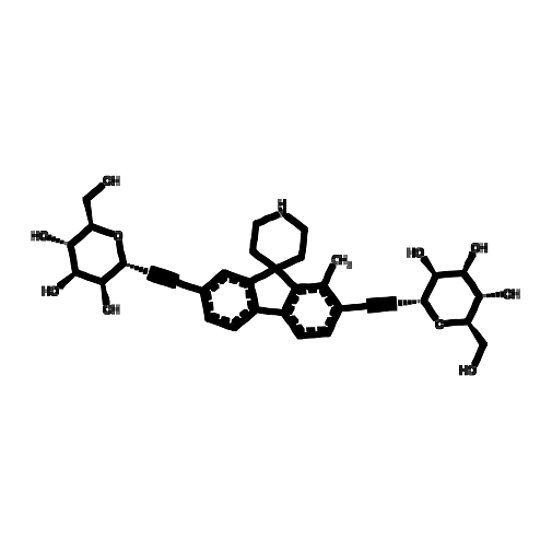 Cc1c(C#C[C@H]2O[C@H](CO)[C@@H](O)[C@H](O)[C@@H]2O)ccc2c1C1(CCNCC1)c1cc(C#C[C@H]3O[C@H](CO)[C@@H](O)[C@H](O)[C@@H]3O)ccc1-2